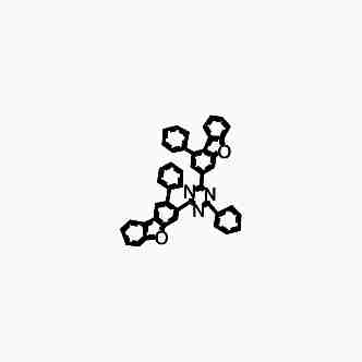 c1ccc(-c2nc(-c3cc(-c4ccccc4)c4c(c3)oc3ccccc34)nc(-c3cc4oc5ccccc5c4cc3-c3ccccc3)n2)cc1